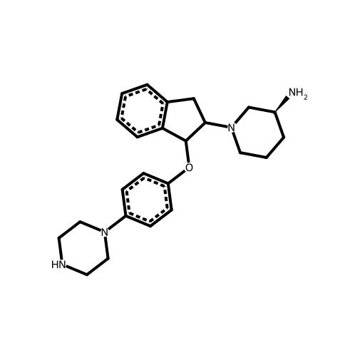 N[C@H]1CCCN(C2Cc3ccccc3C2Oc2ccc(N3CCNCC3)cc2)C1